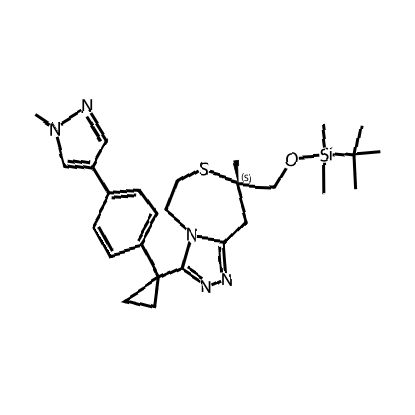 Cn1cc(-c2ccc(C3(c4nnc5n4CCS[C@](C)(CO[Si](C)(C)C(C)(C)C)C5)CC3)cc2)cn1